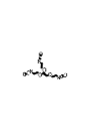 O=C=NCCOCC(OCCN=C=O)OCCN=C=O